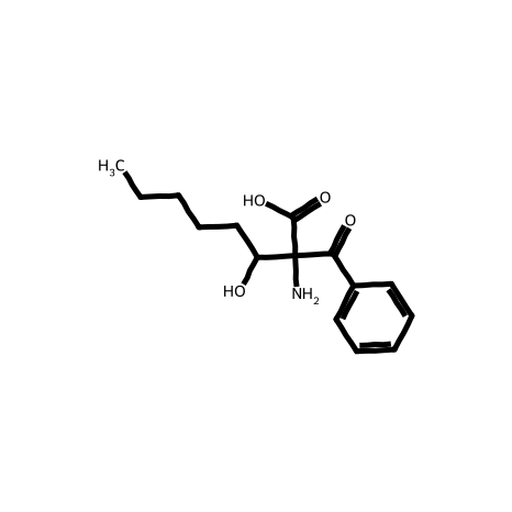 CCCCCC(O)C(N)(C(=O)O)C(=O)c1ccccc1